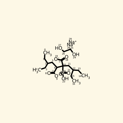 CCC(CC)CC(C(=O)[O-])C(CC(CC)CC)(C(=O)[O-])S(=O)(=O)O.OCCO.[Na+].[Na+]